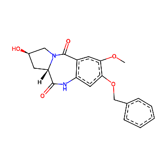 COc1cc2c(cc1OCc1ccccc1)NC(=O)[C@@H]1C[C@@H](O)CN1C2=O